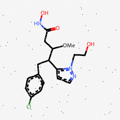 COC(CC(=O)NO)C(Cc1ccc(Cl)cc1)c1ccnn1CCO